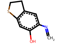 C=Nc1cc2c(cc1O)SCC2